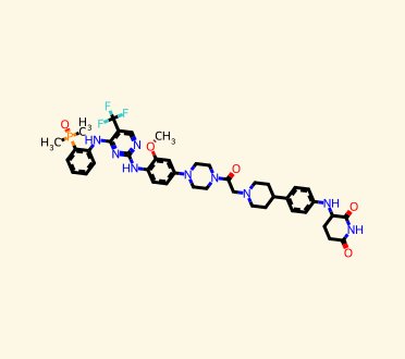 COc1cc(N2CCN(C(=O)CN3CCC(c4ccc(NC5CCC(=O)NC5=O)cc4)CC3)CC2)ccc1Nc1ncc(C(F)(F)F)c(Nc2ccccc2P(C)(C)=O)n1